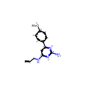 C=CCNc1cc(-c2ccc(OC)cc2)nc(N)n1